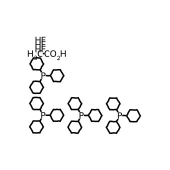 C1CCC(P(C2CCCCC2)C2CCCCC2)CC1.C1CCC(P(C2CCCCC2)C2CCCCC2)CC1.C1CCC(P(C2CCCCC2)C2CCCCC2)CC1.C1CCC(P(C2CCCCC2)C2CCCCC2)CC1.CC(=O)O.F.F.F